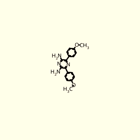 COc1ccc(-c2nc(-c3ccc(OC)cc3)c(N)nc2N)cc1